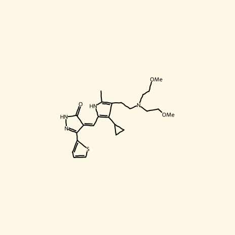 COCCN(CCOC)CCc1c(C)[nH]c(C=C2C(=O)NN=C2c2cccs2)c1C1CC1